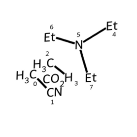 CC#N.CC(=O)O.CCN(CC)CC